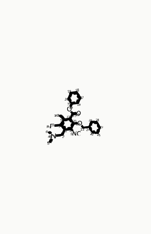 [C-]#[N+]c1c(CN(C)C)c(F)c(C)c(C(=O)Oc2ccccc2)c1OCc1ccccc1